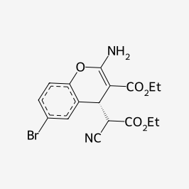 CCOC(=O)C1=C(N)Oc2ccc(Br)cc2[C@H]1C(C#N)C(=O)OCC